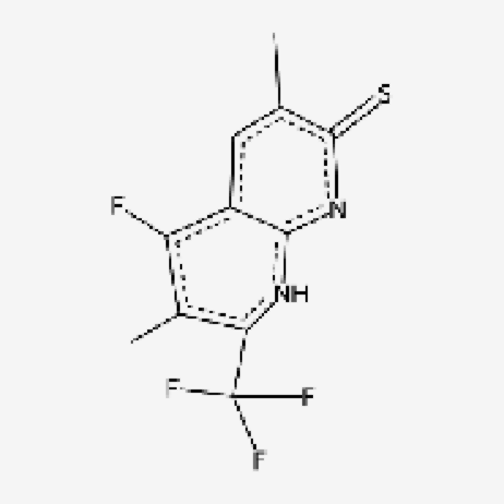 Cc1c(C(F)(F)F)[nH]c2nc(=S)c(C)cc-2c1F